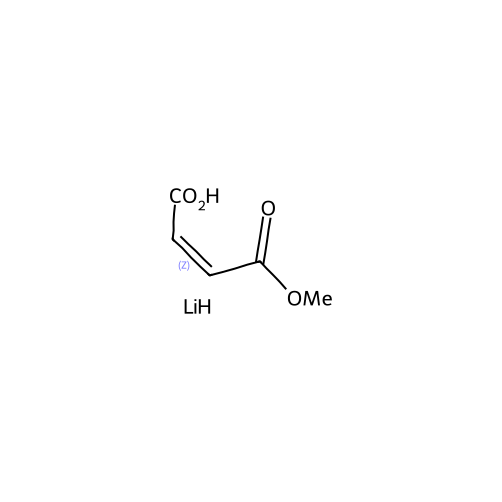 COC(=O)/C=C\C(=O)O.[LiH]